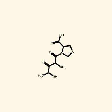 CC(S)C(=O)C(N)C(=O)N1[CH]SCC1C(=O)O